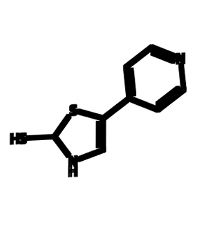 SC1NC=C(c2ccncc2)S1